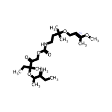 C=C(CC)C(C)OC(C)(CC)C(=O)COC(=O)NCCC(C)(C)OC/C=C(\C)OC